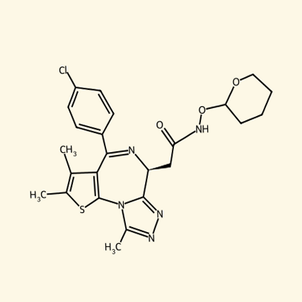 Cc1sc2c(c1C)C(c1ccc(Cl)cc1)=N[C@@H](CC(=O)NOC1CCCCO1)c1nnc(C)n1-2